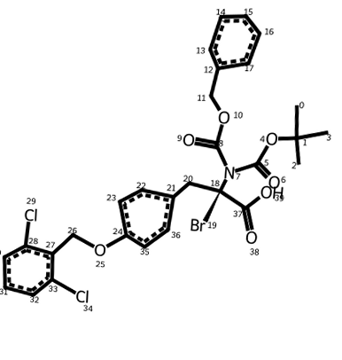 CC(C)(C)OC(=O)N(C(=O)OCc1ccccc1)[C@@](Br)(Cc1ccc(OCc2c(Cl)cccc2Cl)cc1)C(=O)O